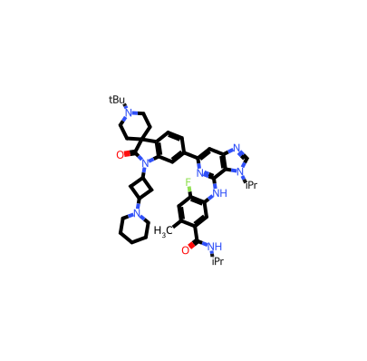 Cc1cc(F)c(Nc2nc(-c3ccc4c(c3)N(C3CC(N5CCCCC5)C3)C(=O)C43CCN(C(C)(C)C)CC3)cc3ncn(C(C)C)c23)cc1C(=O)NC(C)C